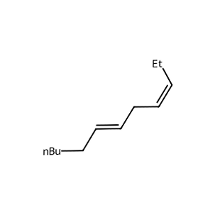 CC/C=C\CC=CCCCCC